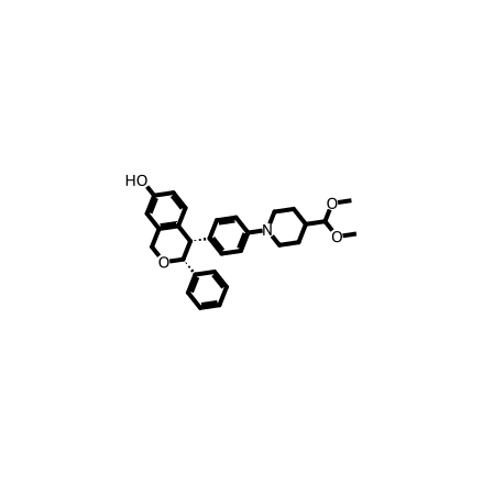 COC(OC)C1CCN(c2ccc([C@H]3c4ccc(O)cc4CO[C@H]3c3ccccc3)cc2)CC1